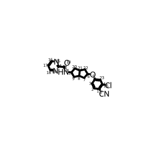 N#Cc1ccc(OC2CC3CC(NC(=O)c4ncccn4)CC3C2)cc1Cl